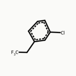 FC(F)(F)Cc1cccc(Cl)c1